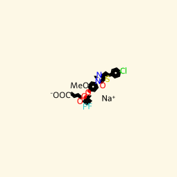 COc1cc(-n2cnc3cc(-c4ccc(Cl)cc4)sc3c2=O)ccc1OCC1(OC(=O)CCCC(=O)[O-])CC(F)(F)C1.[Na+]